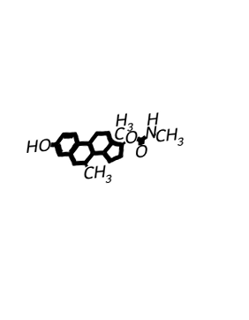 CNC(=O)O[C@H]1CCC2C3C(CC[C@@]21C)c1ccc(O)cc1C[C@@H]3C